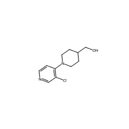 OCC1CCN(c2ccncc2Cl)CC1